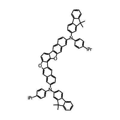 CC(C)c1ccc(N(c2ccc3c(c2)C(C)(C)c2ccccc2-3)c2ccc3cc4c(cc3c2)oc2c4ccc3oc4cc5cc(N(c6ccc(C(C)C)cc6)c6ccc7c(c6)C(C)(C)c6ccccc6-7)ccc5cc4c32)cc1